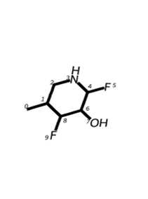 CC1CNC(F)C(O)C1F